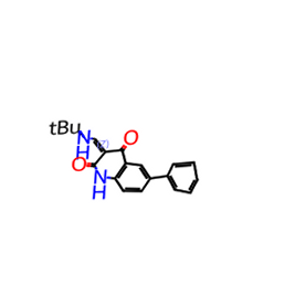 CC(C)(C)N/C=C1\C(=O)Nc2ccc(-c3ccccc3)cc2C1=O